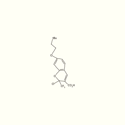 CC(C)(C)CCOc1ccc2c(c1)OC(Cl)(C(F)(F)F)C(C(=O)O)=C2